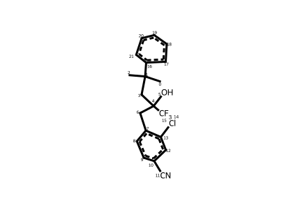 CC(C)(CC(O)(Cc1ccc(C#N)cc1Cl)C(F)(F)F)c1ccccc1